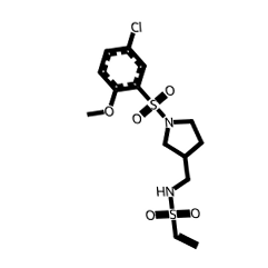 C=CS(=O)(=O)NCC1CCN(S(=O)(=O)c2cc(Cl)ccc2OC)C1